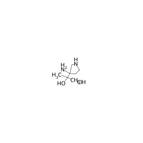 CC(C)(O)C1(N)CCNC1.Cl